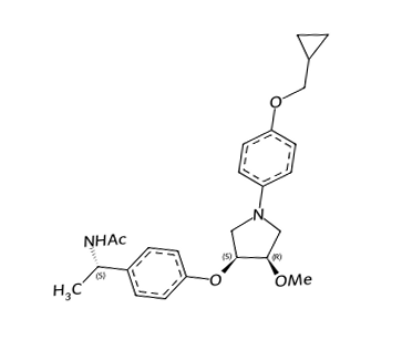 CO[C@@H]1CN(c2ccc(OCC3CC3)cc2)C[C@@H]1Oc1ccc([C@H](C)NC(C)=O)cc1